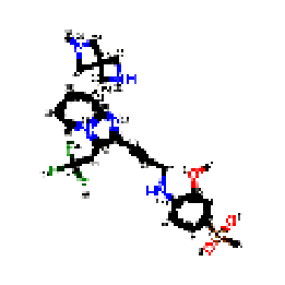 COc1cc(S(C)(=O)=O)ccc1NCC#Cc1nc2c([C@H]3NCC34CN(C)C4)cccn2c1CC(F)(F)F